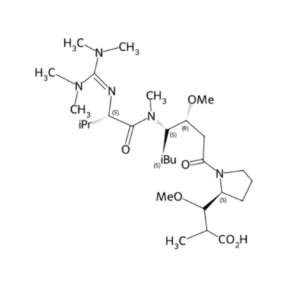 CC[C@H](C)[C@@H]([C@@H](CC(=O)N1CCC[C@H]1C(OC)C(C)C(=O)O)OC)N(C)C(=O)[C@@H](N=C(N(C)C)N(C)C)C(C)C